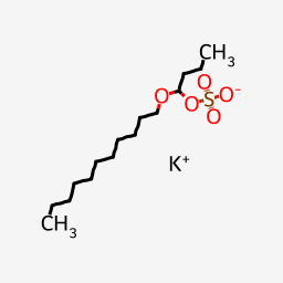 CCCCCCCCCCCOC(CCC)OS(=O)(=O)[O-].[K+]